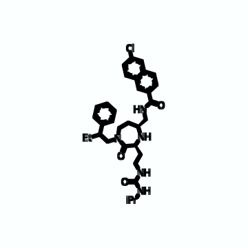 CCC(CN1CC[C@@H](CNC(=O)c2ccc3cc(Cl)ccc3c2)N[C@@H](CCNC(=O)NC(C)C)C1=O)c1ccccc1